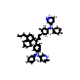 C=C/C=c1/ccc(/C(=C\Cc2ccc(N(c3ccccc3)c3cccnc3)cc2)c2ccc(N(c3ccccc3)c3cccnc3)cc2)c2c1=CC=CC2